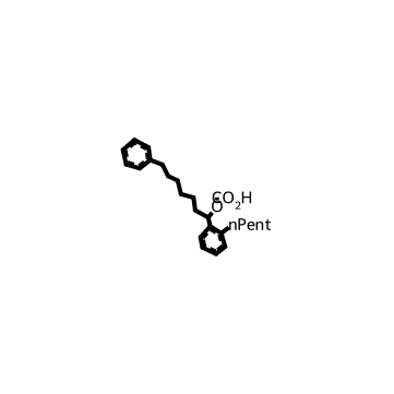 CCCCCc1ccccc1C(CCCCCCc1ccccc1)OC(=O)O